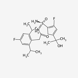 CC(C)c1cc(F)cc(C(C)C)c1CC(=O)N=[S@](N)(=O)C1=C(F)C=C(C(C)(C)O)C1